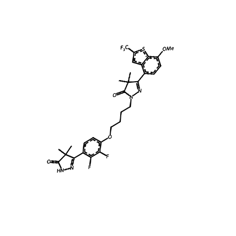 COc1ccc(C2=NN(CCCCOc3ccc(C4=NNC(=O)C4(C)C)c(F)c3F)C(=O)C2(C)C)c2cc(C(F)(F)F)sc12